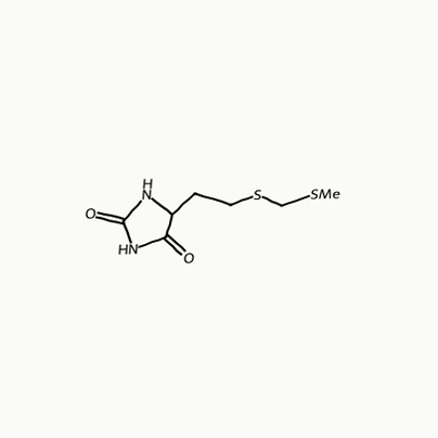 CSCSCCC1NC(=O)NC1=O